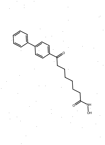 O=C(CCCCCCC(=O)c1ccc(-c2ccccc2)cc1)NO